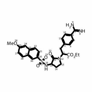 CCOC(=O)C(Cc1ccc(C(=N)N)cc1)N1CCC(NS(=O)(=O)c2ccc3cc(OC)ccc3c2)C1=O